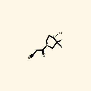 N#CCC(=O)N1CC[C@H](O)C(F)(F)C1